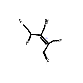 FC/C(F)=C(/Br)C(F)F